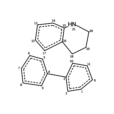 c1ccc(-c2ccccc2)cc1.c1ccc2c(c1)CCCN2